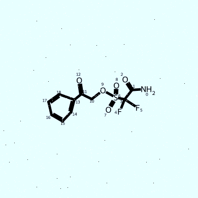 NC(=O)C(F)(F)S(=O)(=O)OCC(=O)c1ccccc1